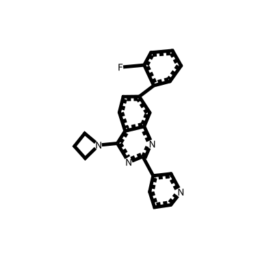 Fc1ccccc1-c1ccc2c(N3CCC3)nc(-c3cccnc3)nc2c1